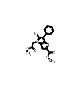 COC(=O)Cn1c(Br)c(-c2ccccc2)c2sc(C(=O)OC)cc21